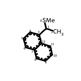 CSC(C)c1cccc2ccccc12